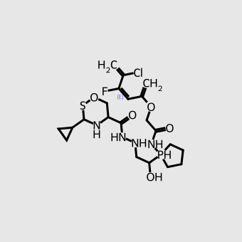 C=C(/C=C(/F)C(=C)Cl)OCC(=O)N[PH]1(C(O)CNNC(=O)C2COSC(C3CC3)N2)CCCC1